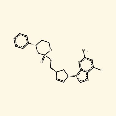 Nc1nc(Cl)c2ncn([C@H]3C=C[C@@H](COP4(=O)OCC[C@@H](c5ccccc5)O4)C3)c2n1